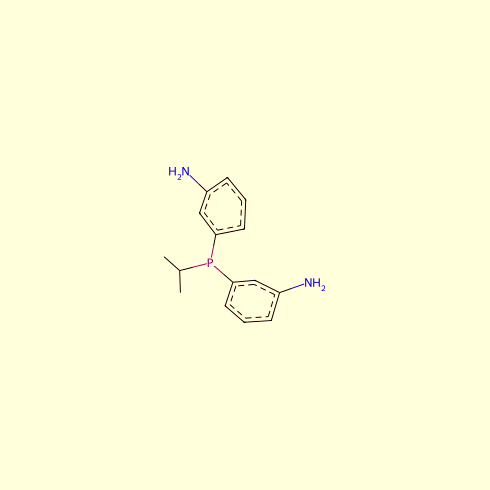 CC(C)P(c1cccc(N)c1)c1cccc(N)c1